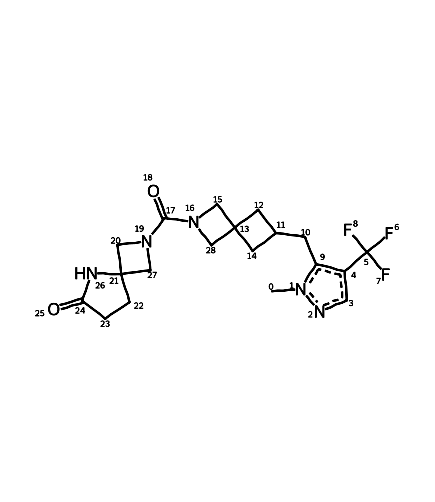 Cn1ncc(C(F)(F)F)c1CC1CC2(C1)CN(C(=O)N1CC3(CCC(=O)N3)C1)C2